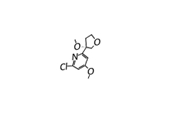 COc1cc(Cl)nc([C@@]2(OC)CCOC2)c1